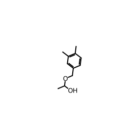 Cc1ccc(COC(C)O)cc1C